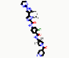 Cn1c(-c2cn(-c3ncccn3)nc2C(F)(F)F)cnc1C(=O)Nc1ccc(C(=O)NC2[C@H]3CN(C(=O)C4CCNCC4)C[C@@H]23)c(Cl)c1